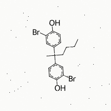 CCCCC(C)(c1ccc(O)c(Br)c1)c1ccc(O)c(Br)c1